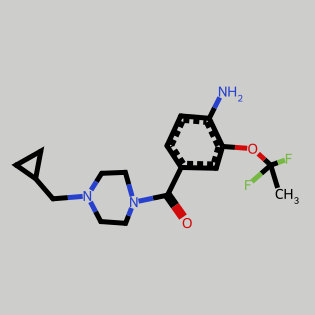 CC(F)(F)Oc1cc(C(=O)N2CCN(CC3CC3)CC2)ccc1N